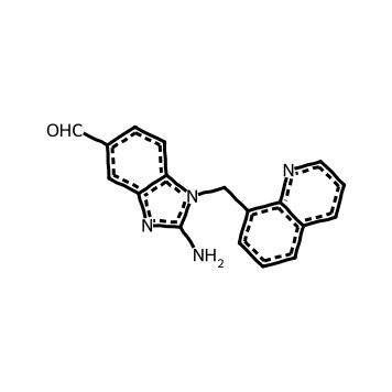 Nc1nc2cc(C=O)ccc2n1Cc1cccc2cccnc12